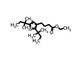 CCOC(=O)CCCc1cc(C(C)(C)CC)sc1C(C)(C)CC